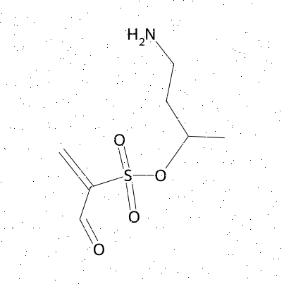 C=C(C=O)S(=O)(=O)OC(C)CCN